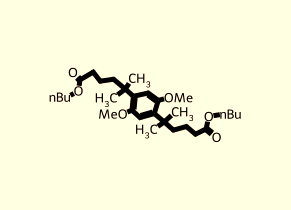 CCCCOC(=O)CCCC(C)(C)c1cc(OC)c(C(C)(C)CCCC(=O)OCCCC)cc1OC